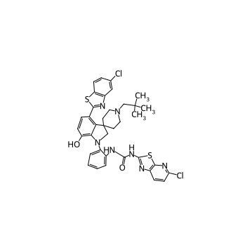 CC(C)(C)CN1CCC2(CC1)CN(c1ccccc1NC(=O)Nc1nc3ccc(Cl)nc3s1)c1c(O)ccc(-c3nc4cc(Cl)ccc4s3)c12